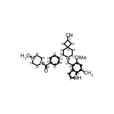 COc1cc(C)c2[nH]ccc2c1CN1CCC2(CC(C#N)C2)C[C@H]1c1ccc(C(=O)N2CCN(C)CC2)cc1